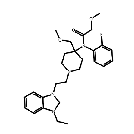 CCN1CN(CCN2CCC(COC)(N(C(=O)COC)c3ccccc3F)CC2)c2ccccc21